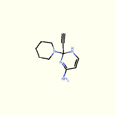 C#CC1(N2CCCCC2)N=C(N)C=CN1